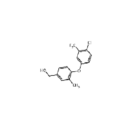 Cc1cc(CO)ccc1Oc1ccc(Cl)c(C(F)(F)F)c1